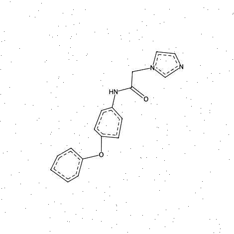 O=C(Cn1ccnc1)Nc1ccc(Oc2ccccc2)cc1